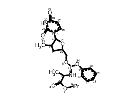 CC(C)OC(=O)C(C)NP(OCC1CC(C)C(n2ccc(=O)[nH]c2=O)O1)Oc1ccccc1